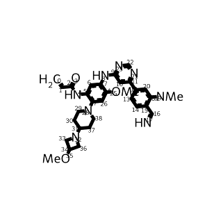 C=CC(=O)Nc1cc(Nc2cc(-c3ccc(C=N)c(NC)c3)ncn2)c(OC)cc1N1CCC(N2CC(OC)C2)CC1